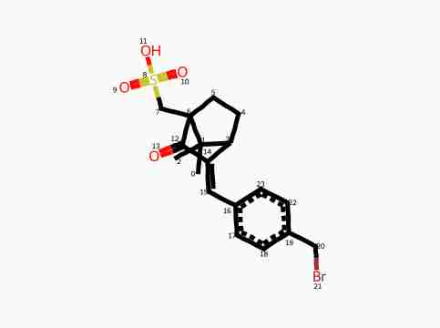 CC1(C)C2CCC1(CS(=O)(=O)O)C(=O)C2=Cc1ccc(CBr)cc1